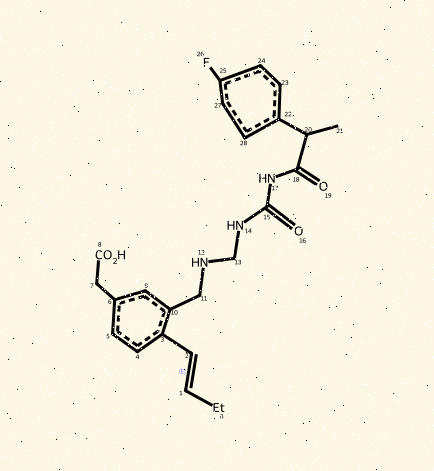 CC/C=C/c1ccc(CC(=O)O)cc1CNCNC(=O)NC(=O)C(C)c1ccc(F)cc1